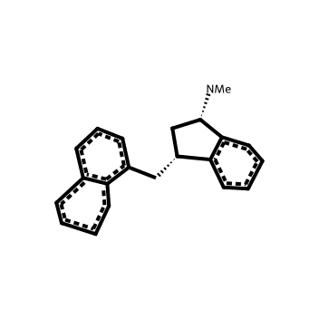 CN[C@H]1C[C@@H](Cc2cccc3ccccc23)c2ccccc21